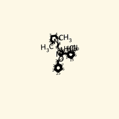 C[C@@H]1CCC[C@H](C)N1CCn1cc(-c2ccccc2)c(OCc2ccccc2)n1.Cl.Cl